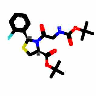 CC(C)(C)OC(=O)NCC(=O)N1[C@@H](c2ccccc2F)SC[C@H]1C(=O)OC(C)(C)C